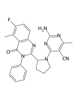 Cc1nc(N)nc(N2CCCC2c2nc3ccc(F)c(C)c3c(=O)n2-c2ccccc2)c1C#N